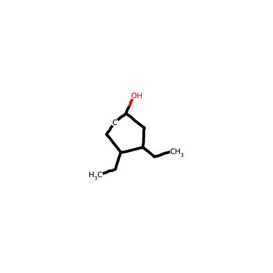 CCC1CCC(O)CC1CC